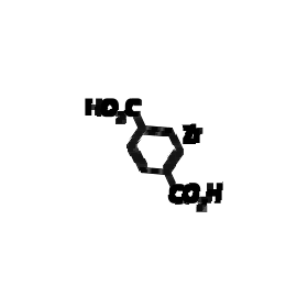 O=C(O)c1ccc(C(=O)O)cc1.[Zr]